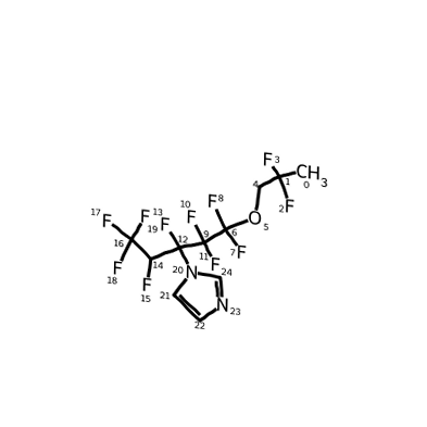 CC(F)(F)COC(F)(F)C(F)(F)C(F)(C(F)C(F)(F)F)n1ccnc1